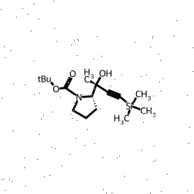 CC(C)(C)OC(=O)N1CCC[C@H]1[C@](C)(O)C#C[Si](C)(C)C